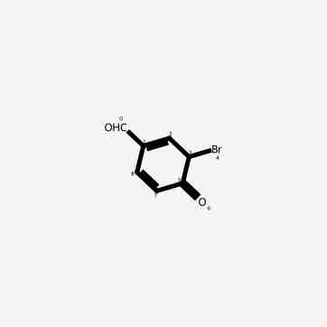 O=CC1=CC(Br)C(=O)C=C1